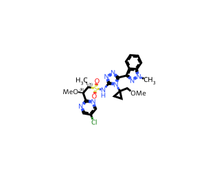 COCC1(n2c(NS(=O)(=O)[C@@H](C)[C@H](OC)c3ncc(Cl)cn3)nnc2-c2nn(C)c3ccccc23)CC1